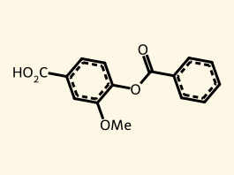 COc1cc(C(=O)O)ccc1OC(=O)c1ccccc1